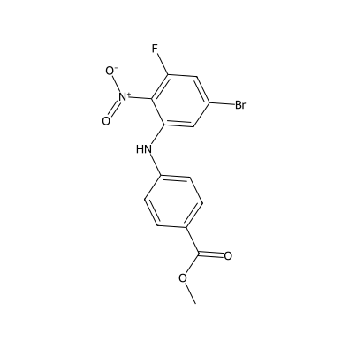 COC(=O)c1ccc(Nc2cc(Br)cc(F)c2[N+](=O)[O-])cc1